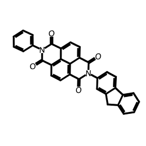 O=C1c2ccc3c4c(ccc(c24)C(=O)N1c1ccccc1)C(=O)N(c1ccc2c(c1)Cc1ccccc1-2)C3=O